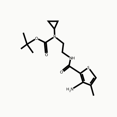 Cc1csc(C(=O)NCCN(C(=O)OC(C)(C)C)C2CC2)c1N